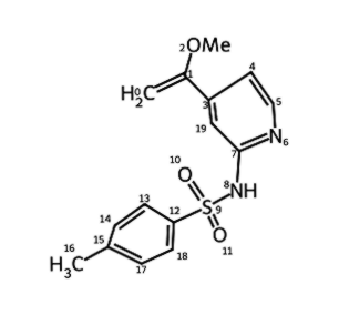 C=C(OC)c1ccnc(NS(=O)(=O)c2ccc(C)cc2)c1